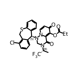 CCC(=O)Oc1c2n(ccc1=O)N([C@@H]1c3ccccc3SCc3c(Cl)cccc31)CN([C@H](C)C(F)(F)F)C2=O